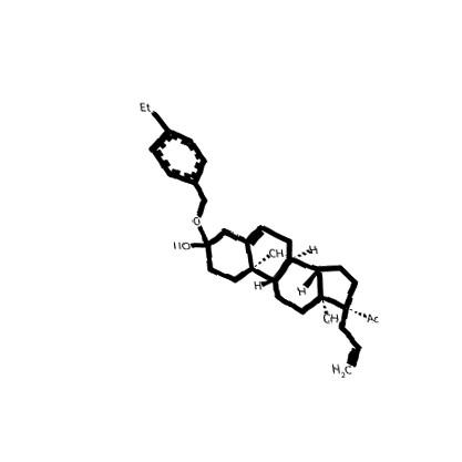 C=CC[C@]1(C(C)=O)CC[C@H]2[C@@H]3CC=C4CC(O)(OCc5ccc(CC)cc5)CC[C@]4(C)[C@H]3CC[C@@]21C